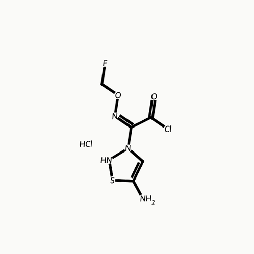 Cl.NC1=CN(C(=NOCF)C(=O)Cl)NS1